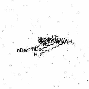 C=CC[Si](OC)(OC)OC.CCCCCCCCCCCCCCCCCC[Si](OC)(OC)OC.CCCCCCCCCCCCCCCCCC[Si](OCC)(OCC)OCC.[CH2]CCCCCCCCCCCCCCC